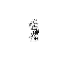 CC(C)(O)Cn1nnc2cc(C(C)(C)C)c(F)cc21